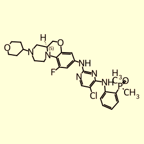 CP(C)(=O)c1ccccc1Nc1nc(Nc2cc(F)c3c(c2)OC[C@@H]2CN(C4CCOCC4)CCN32)ncc1Cl